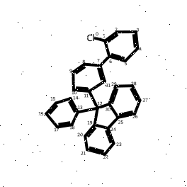 Clc1ccccc1-c1cccc(C2(c3ccccc3)c3ccccc3-c3ccccc32)c1